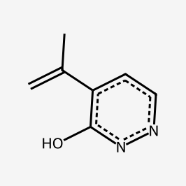 C=C(C)c1ccnnc1O